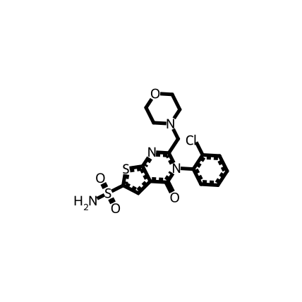 NS(=O)(=O)c1cc2c(=O)n(-c3ccccc3Cl)c(CN3CCOCC3)nc2s1